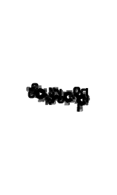 CS(=O)(=O)c1ccc(-n2ncc3c(OC4CCN(C(=O)c5cc(F)cnc5Cl)CC4)ncnc32)cc1